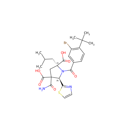 CC(C)C[C@@]1(C(=O)O)CC(C(N)=O)(C(=O)O)[C@H](c2nccs2)N1C(=O)c1ccc(C(C)(C)C)c(Br)c1